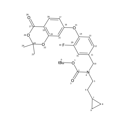 CC(C)(C)OC(=O)N(CCC1CC1)Cc1ccc(Oc2ccc3c(c2)OC(C)(C)OC3=O)c(F)c1